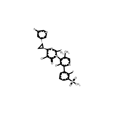 Cc1cnc(-c2cccc(S(C)(=O)=O)c2F)c(F)c1-n1c(C)nc([C@H]2C[C@@H]2c2cncc(F)c2)c(Cl)c1=O